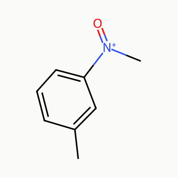 Cc1cccc([N+](C)=O)c1